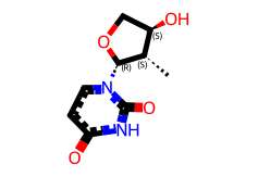 C[C@H]1[C@H](O)CO[C@H]1n1ccc(=O)[nH]c1=O